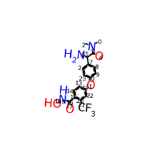 CN(C)C(=O)C(N)c1ccc(Oc2ccc(C(=O)NO)c(C(F)(F)F)c2)cc1